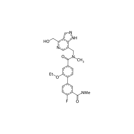 CCOc1cc(C(=O)N(C)Cc2cnc(CO)c3cn[nH]c23)ccc1-c1ccc(F)c(C(=O)NC)c1